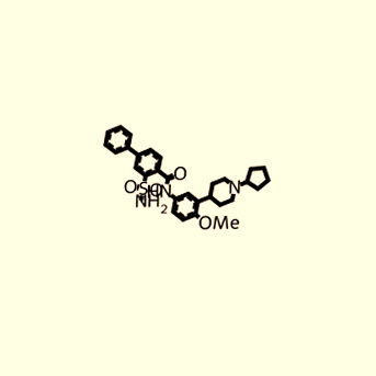 COc1ccc(NC(=O)c2ccc(-c3ccccc3)cc2S(N)(=O)=O)cc1C1CCN(C2CCCC2)CC1